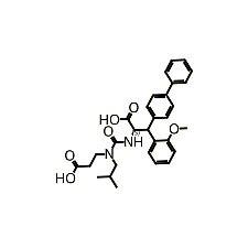 COc1ccccc1C(c1ccc(-c2ccccc2)cc1)[C@H](NC(=O)N(CCC(=O)O)CC(C)C)C(=O)O